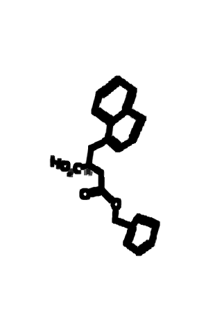 O=C(C[C@H](Cc1cccc2ccccc12)C(=O)O)OCc1ccccc1